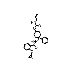 C=CCNC(=O)OC1CCC(CNC(=O)c2ccccc2OC2CC2)(c2ccccc2)CC1